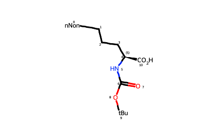 CCCCCCCCCCCC[C@H](NC(=O)OC(C)(C)C)C(=O)O